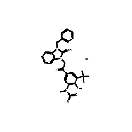 Br.CN(C(=O)O)c1cc(C(=O)Cn2c(=N)n(Cc3ccccc3)c3ccccc32)cc(C(C)(C)C)c1O